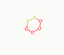 O1OOSSO1